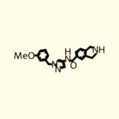 COc1cccc(Cn2cc(NC(=O)c3ccc4c(c3)CCNC4)cn2)c1